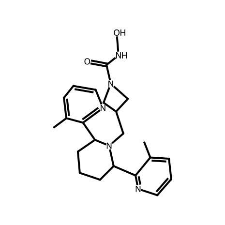 Cc1cccnc1C1CCCC(c2ncccc2C)N1CC1CN(C(=O)NO)C1